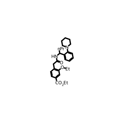 CCCC(NC(=O)Cc1ccc(C(=O)OCC)cc1OCC)c1ccccc1N1CCCCC1